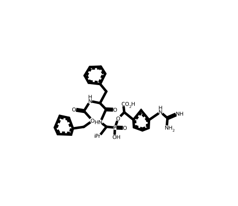 CC(C)C(NC(=O)C(Cc1ccccc1)NC(=O)OCc1ccccc1)P(=O)(O)OC(C(=O)O)c1cccc(NC(=N)N)c1